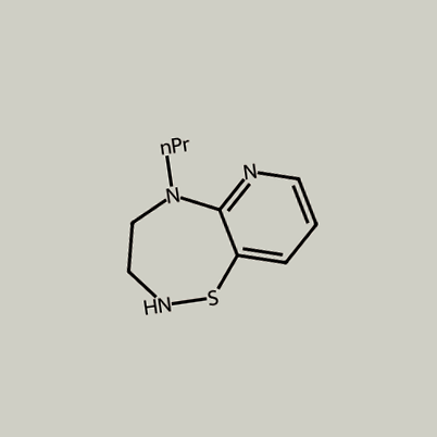 CCCN1CCNSc2cccnc21